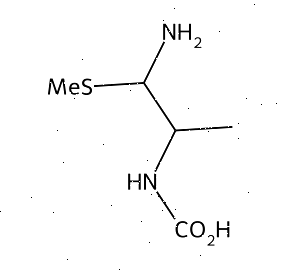 CSC(N)C(C)NC(=O)O